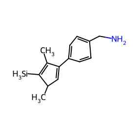 CC1=C([SiH3])C(C)C=C1c1ccc(CN)cc1